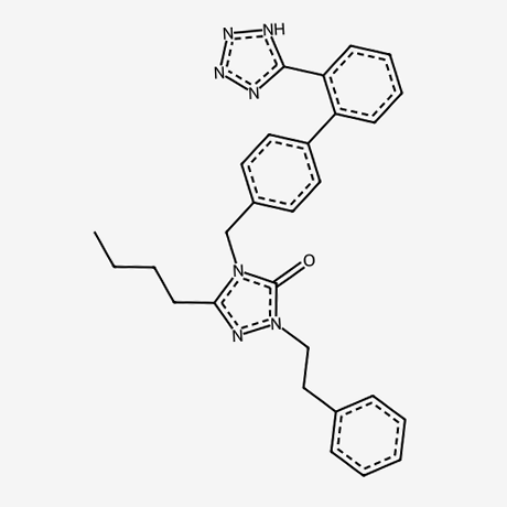 CCCCc1nn(CCc2ccccc2)c(=O)n1Cc1ccc(-c2ccccc2-c2nnn[nH]2)cc1